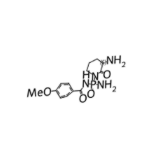 COc1ccc(C(=O)NP(N)(=O)N2CCC[C@H](N)C2=O)cc1